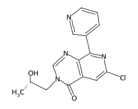 C[C@H](O)Cn1cnc2c(-c3cccnc3)nc(Cl)cc2c1=O